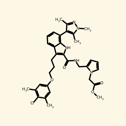 COC(=O)Cn1cccc1CNC(=O)c1[nH]c2c(-c3c(C)nn(C)c3C)cccc2c1CCCOc1cc(C)c(Cl)c(C)c1